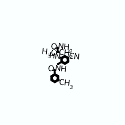 Cc1cccc(C(=O)NCc2ccc(C#N)cc2NC(C)(C)C(N)=O)c1